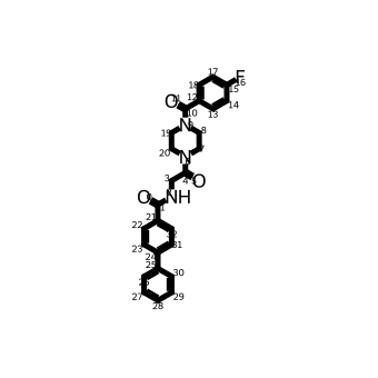 O=C(NCC(=O)N1CCN(C(=O)c2ccc(F)cc2)CC1)c1ccc(-c2ccccc2)cc1